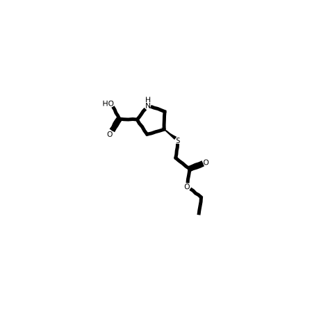 CCOC(=O)CS[C@@H]1CNC(C(=O)O)C1